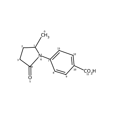 CC1CCC(=O)N1c1ccc(C(=O)O)cc1